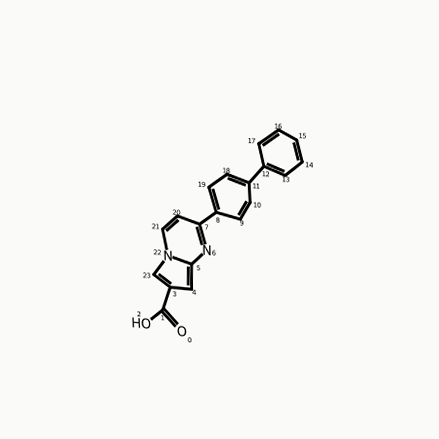 O=C(O)c1cc2nc(-c3ccc(-c4ccccc4)cc3)ccn2c1